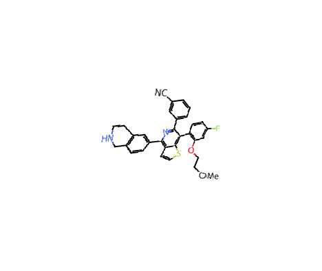 COCCOc1cc(F)ccc1-c1c(-c2cccc(C#N)c2)nc(-c2ccc3c(c2)CCNC3)c2ccsc12